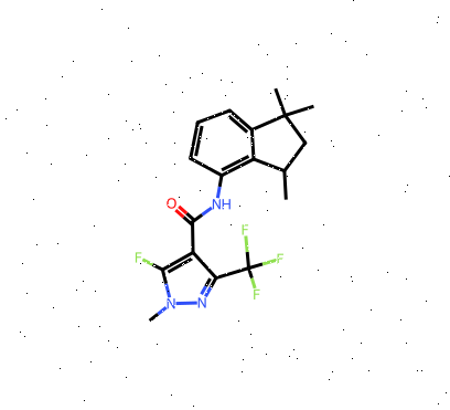 CC1CC(C)(C)c2cccc(NC(=O)c3c(C(F)(F)F)nn(C)c3F)c21